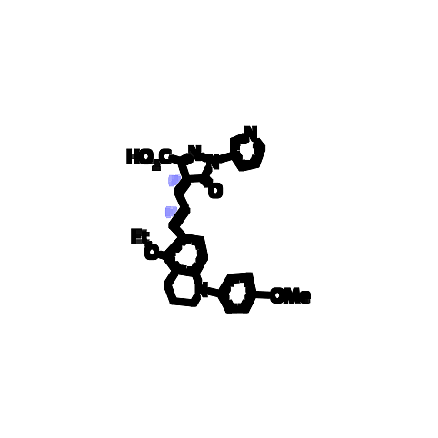 CCOc1c(/C=C/C=C2\C(=O)N(c3cccnc3)N=C2C(=O)O)ccc2c1CCCN2c1ccc(OC)cc1